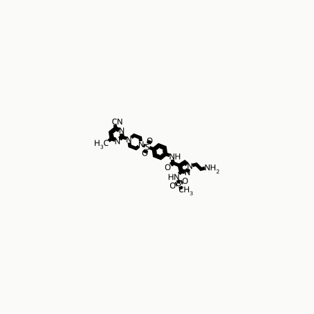 Cc1cc(C#N)nc(N2CCN(S(=O)(=O)c3ccc(NC(=O)c4cn(CCN)nc4NS(C)(=O)=O)cc3)CC2)n1